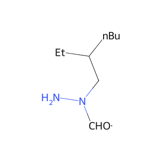 CCCCC(CC)CN(N)[C]=O